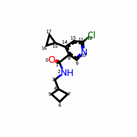 O=C(NCC1CCC1)c1cnc(Cl)cc1C1CC1